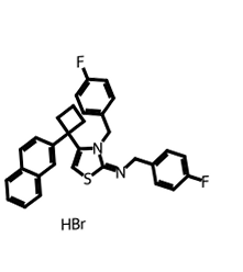 Br.Fc1ccc(C/N=c2/scc(C3(c4ccc5ccccc5c4)CCC3)n2Cc2ccc(F)cc2)cc1